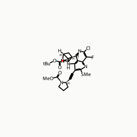 COC(=O)N1CCC[C@@H]1C#Cc1c(SC)nc2c(F)c(Cl)ncc2c1N[C@H]1[C@@H]2C[C@H]1N(C(=O)OC(C)(C)C)C2